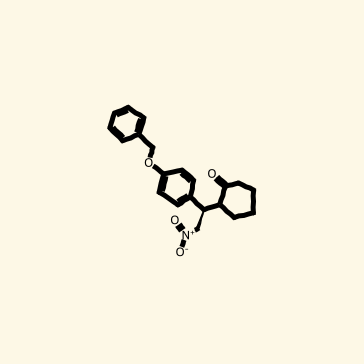 O=C1CCCCC1[C@@H](C[N+](=O)[O-])c1ccc(OCc2ccccc2)cc1